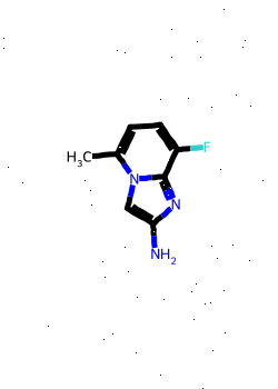 Cc1ccc(F)c2nc(N)cn12